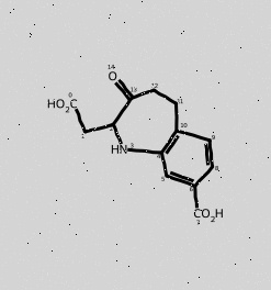 O=C(O)CC1Nc2cc(C(=O)O)ccc2CCC1=O